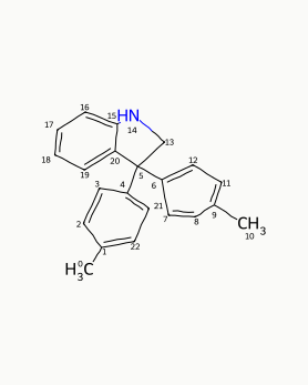 Cc1ccc(C2(c3ccc(C)cc3)CNc3ccccc32)cc1